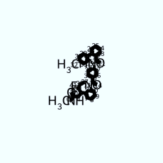 CNC(=O)CC1c2ccccc2N(C(=O)c2ccc(NC(=O)c3ccccc3-c3ccc(C)cc3)cc2)CCC1(F)F